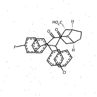 O=C(O)[C@@H]1[C@H]2CC[C@@H](CN1C(=O)C(c1ccc(F)cc1)c1ccc(Cl)cc1)N2C(=O)C(c1ccccc1)c1ccccc1